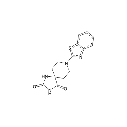 O=C1NC(=O)C2(CCN(c3nc4ccccc4s3)CC2)N1